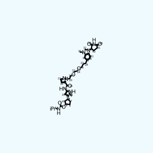 CC(C)NC(=O)O[C@@H]1CC[C@H](c2cc(NC(=O)c3ccnn3CCOCCOCCCc3ccc4c(c3)N(C)CN4C3CCC(=O)NC3=O)[nH]n2)C1